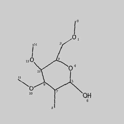 COCC1OC(O)C(C)C(OC)C1OC